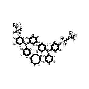 C1=CCCC=CCC1.F[B-](F)(F)F.F[B-](F)(F)F.F[B-](F)(F)F.[Rh+3].c1ccc(P(c2ccccc2)c2ccccc2)cc1.c1ccc(P(c2ccccc2)c2ccccc2)cc1